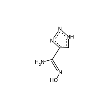 NC(=NO)c1c[nH]nn1